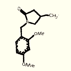 [CH2]C1CC(=O)N(Cc2ccc(OC)cc2OC)C1